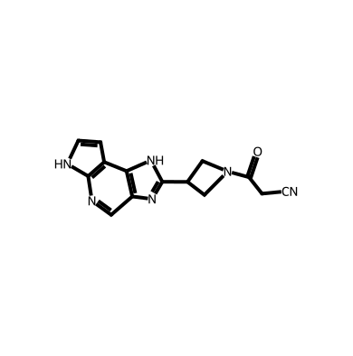 N#CCC(=O)N1CC(c2nc3cnc4[nH]ccc4c3[nH]2)C1